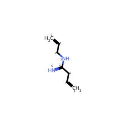 C=CCNC(=N)CC=C